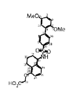 COc1ccc(OC)c(-c2ccc(S(=O)(=O)NC3CCCc4c(OCC(=O)O)cccc43)cc2)c1